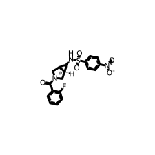 O=C(c1ccccc1F)N1CC2C(NS(=O)(=O)c3ccc([N+](=O)[O-])cc3)[C@H]2C1